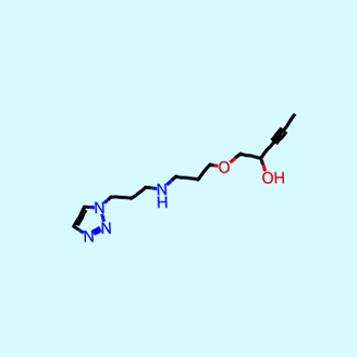 CC#CC(O)COCCCNCCCn1ccnn1